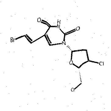 O=c1[nH]c(=O)n([C@@H]2CC(Cl)[C@H](CCl)O2)cc1/C=C/Br